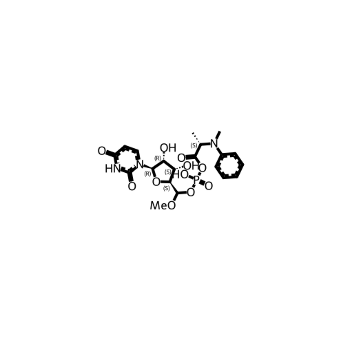 COC(OP(=O)(O)OC(=O)[C@H](C)N(C)c1ccccc1)[C@H]1O[C@@H](n2ccc(=O)[nH]c2=O)[C@H](O)[C@@H]1O